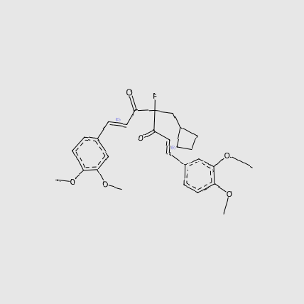 COc1ccc(/C=C/C(=O)C(F)(CC2CCC2)C(=O)/C=C/c2ccc(OC)c(OC)c2)cc1OC